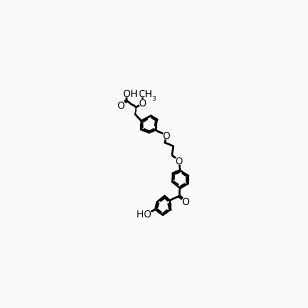 CO[C@@H](Cc1ccc(OCCCOc2ccc(C(=O)c3ccc(O)cc3)cc2)cc1)C(=O)O